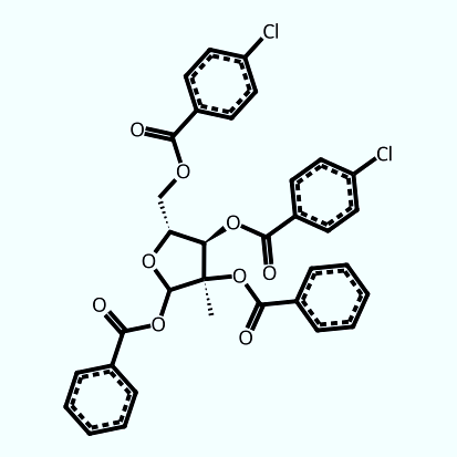 C[C@]1(OC(=O)c2ccccc2)C(OC(=O)c2ccccc2)O[C@H](COC(=O)c2ccc(Cl)cc2)[C@H]1OC(=O)c1ccc(Cl)cc1